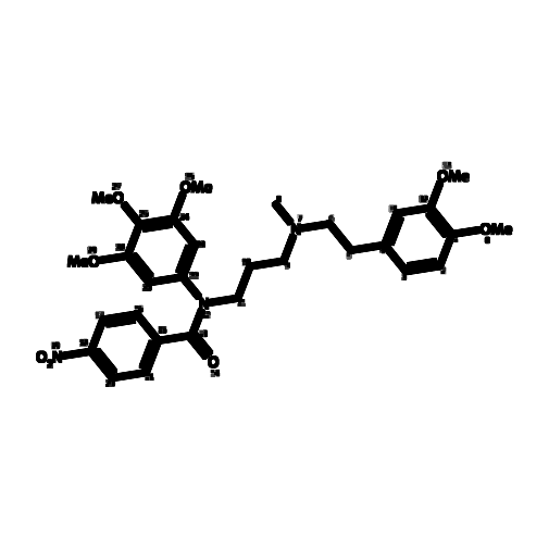 COc1ccc(CCN(C)CCCN(C(=O)c2ccc([N+](=O)[O-])cc2)c2cc(OC)c(OC)c(OC)c2)cc1OC